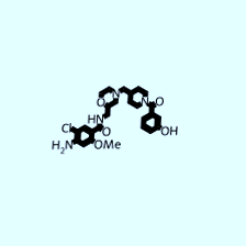 COc1cc(N)c(Cl)cc1C(=O)NCC1CN(CC2CCN(C(=O)c3cccc(O)c3)CC2)CCO1